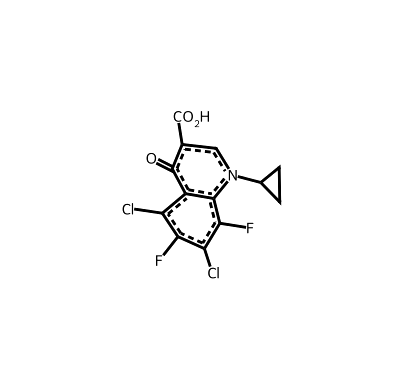 O=C(O)c1cn(C2CC2)c2c(F)c(Cl)c(F)c(Cl)c2c1=O